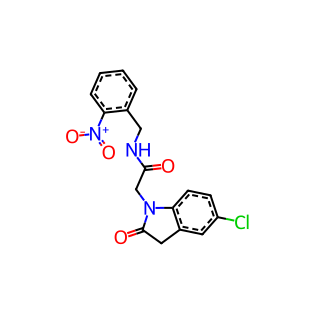 O=C(CN1C(=O)Cc2cc(Cl)ccc21)NCc1ccccc1[N+](=O)[O-]